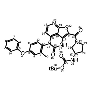 Cc1cc(Oc2ccccc2)ccc1N1C(=O)Nc2c(C(=O)N3CC[C@H](NC(=O)OC(C)(C)C)C3)sc3nccc1c23